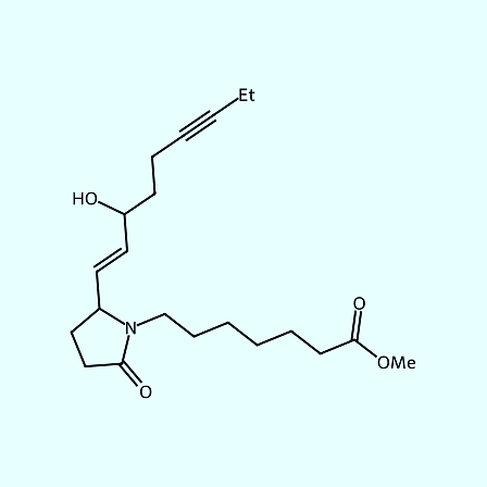 CCC#CCCC(O)C=CC1CCC(=O)N1CCCCCCC(=O)OC